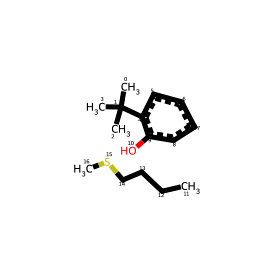 CC(C)(C)c1ccccc1O.CCCCSC